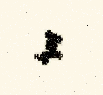 CC1(C)c2ccccc2-c2cc3c(cc21)-c1c(cc2ccc4c(-n5c(-c6ccccc6)nc6ccccc65)ccc5ccc1c2c54)C3(C)C